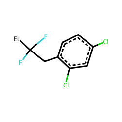 CCC(F)(F)Cc1ccc(Cl)cc1Cl